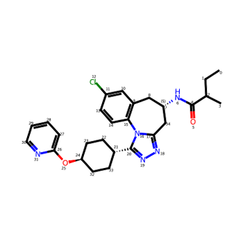 CCC(C)C(=O)N[C@H]1Cc2cc(Cl)ccc2-n2c(nnc2[C@H]2CC[C@H](Oc3ccccn3)CC2)C1